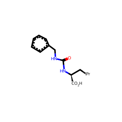 CC(C)C[C@H](NC(=O)NCc1ccccc1)C(=O)O